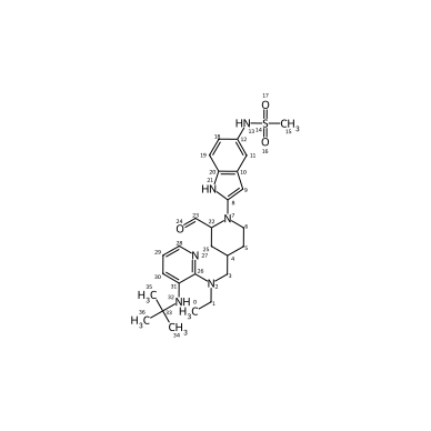 CCN(CC1CCN(c2cc3cc(NS(C)(=O)=O)ccc3[nH]2)C(C=O)C1)c1ncccc1NC(C)(C)C